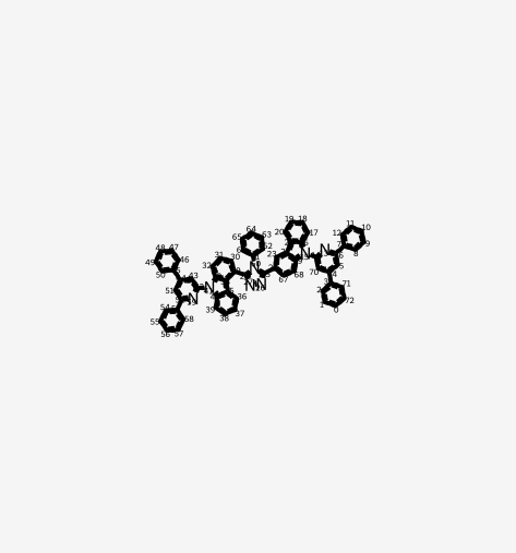 c1ccc(-c2cc(-c3ccccc3)nc(-n3c4ccccc4c4cc(-c5nnc(-c6cccc7c6c6ccccc6n7-c6cc(-c7ccccc7)cc(-c7ccccc7)n6)n5-c5ccccc5)ccc43)c2)cc1